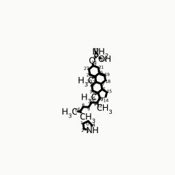 C1CCNC1.CC(C)CCC[C@@H](C)[C@H]1CCC2C3CC=C4CC(OP(N)O)CC[C@]4(C)C3CC[C@@]21C